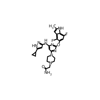 Cc1cc2c(F)c(Oc3nc(Nc4cc(C5CC5)[nH]n4)cc(N4CCN(CC(N)=O)CC4)n3)cc(F)c2[nH]1